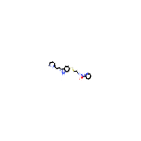 O=C(NCCCSc1ccc2c(C=Cc3ccccn3)n[nH]c2c1)c1ccccc1